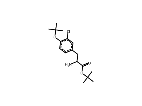 CC(C)(C)OC(=O)C(N)Cc1ccc(OC(C)(C)C)c(Cl)c1